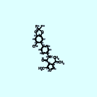 Cc1onc(C(C)C)c1C(=O)Nc1cnc(-c2cc3c(cc2Cl)OC(F)(F)O3)cn1